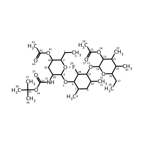 CCC1OC(OC2C(C)CC(C)C(OC3OC(CC)C(C)C(C)C3OC(C)=O)C2F)C(NC(=O)OC(C)(C)C)CC1OC(C)=O